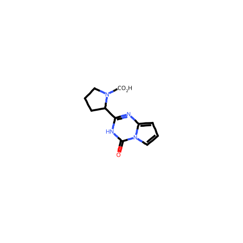 O=C(O)N1CCCC1c1nc2cccn2c(=O)[nH]1